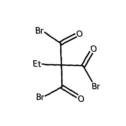 CCC(C(=O)Br)(C(=O)Br)C(=O)Br